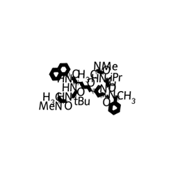 CN[C@@H](C)C(=O)N[C@H](C(=O)N1C[C@@H](CC(=O)CC[C@@H](NC(=O)[C@H](NC(=O)[C@@H](C)NC)C(C)(C)C)C(=O)N[C@H]2CCCc3ccccc32)C[C@H]1C(=O)N[C@H](C)c1ccccc1)C(C)C